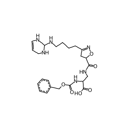 O=C(NC(CNC(=O)C1CC(CCCCNC2NC=CCN2)=NO1)C(=O)O)OCc1ccccc1